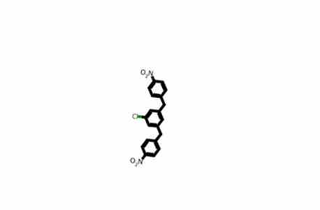 O=[N+]([O-])c1ccc(Cc2cc(Cl)cc(Cc3ccc([N+](=O)[O-])cc3)c2)cc1